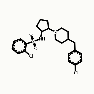 O=S(=O)(NC1CCCC1N1CCC(Cc2ccc(Cl)cc2)CC1)c1ccccc1Cl